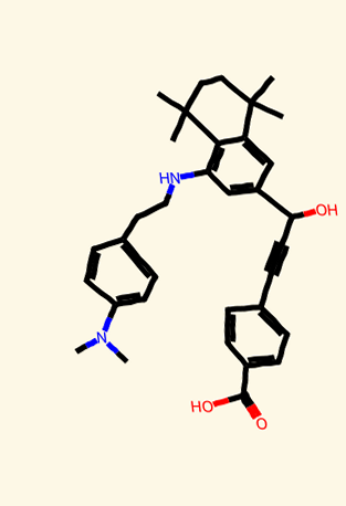 CN(C)c1ccc(CCNc2cc(C(O)C#Cc3ccc(C(=O)O)cc3)cc3c2C(C)(C)CCC3(C)C)cc1